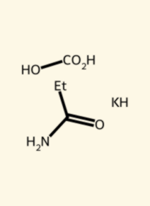 CCC(N)=O.O=C(O)O.[KH]